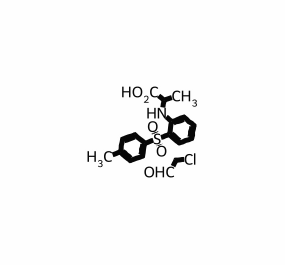 Cc1ccc(S(=O)(=O)c2ccccc2NC(C)C(=O)O)cc1.O=CCCl